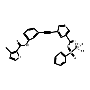 CC[C@@H](C(=O)O)S(=O)(=NC(=O)c1cncc(C#Cc2cccc(NC(=O)c3occc3C)c2)c1)c1ccccc1